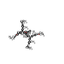 CCC(CC)COc1ccc(-c2ccc(N(c3ccc(-c4ccc(OCC(CC)CC)cc4C)cc3)c3ccc([C@H]4CC(O)[C@@](C(=O)OCc5ccccc5)(c5ccc(N(c6ccc(-c7ccc(OCC(CC)CC)cc7C)cc6)c6ccc(-c7ccc(OCC(CC)CC)cc7C)cc6)cc5O)[C@H]4O)c(O)c3)cc2)c(C)c1